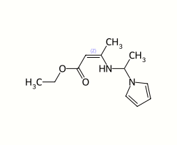 CCOC(=O)/C=C(/C)NC(C)n1cccc1